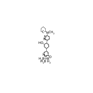 BC(B)(B)n1ncc(-c2ccc(-c3ccc(N(C)C4CCCCC4)nn3)c(O)c2)cc1=O